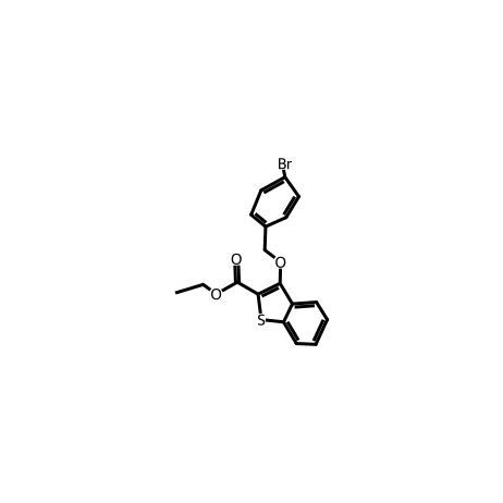 CCOC(=O)c1sc2ccccc2c1OCc1ccc(Br)cc1